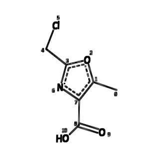 Cc1oc(CCl)nc1C(=O)O